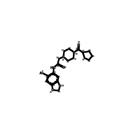 CC(=O)c1cc2c(cc1NC(=O)CN1CCN(C(=O)C3CCCC3)CC1)OCO2